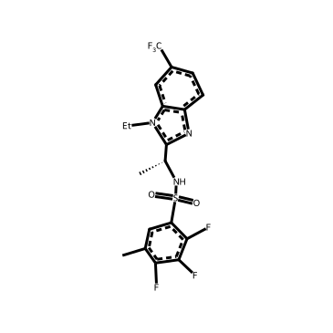 CCn1c([C@@H](C)NS(=O)(=O)c2cc(C)c(F)c(F)c2F)nc2ccc(C(F)(F)F)cc21